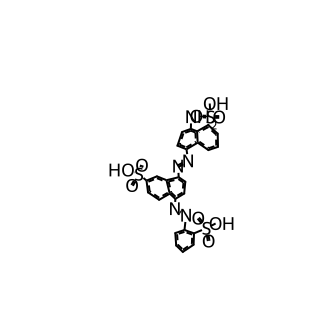 Nc1ccc(/N=N/c2ccc(/N=N/c3ccccc3S(=O)(=O)O)c3ccc(S(=O)(=O)O)cc23)c2cccc(S(=O)(=O)O)c12